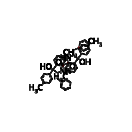 Cc1ccc(C(O)(c2ccc(C)cc2)[C@@H](Cc2ccccc2)NC(=O)C(=O)N[C@H](Cc2ccccc2)C(O)(c2ccc(C)cc2)c2ccc(C)cc2)cc1